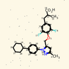 Cc1cc(COc2c(F)cc(CC(C)C(=O)O)cc2F)n(-c2ccc(C3CCCCC3)cc2)n1